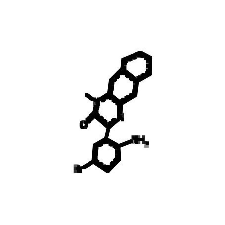 Cn1c(=O)c(-c2cc(Br)ccc2N)nc2cc3ccccc3cc21